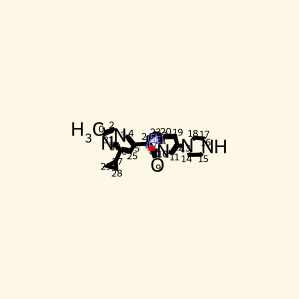 Cc1cn2cc(C3=C\C(=O)N4C=C(N5CCNCC5)C=C\C4=C/C=C/3)cc(C3CC3)c2n1